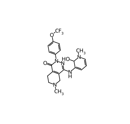 CN1CCc2c(c(NC3=CC=CN(C)C3O)nn(-c3ccc(OC(F)(F)F)cc3)c2=O)C1